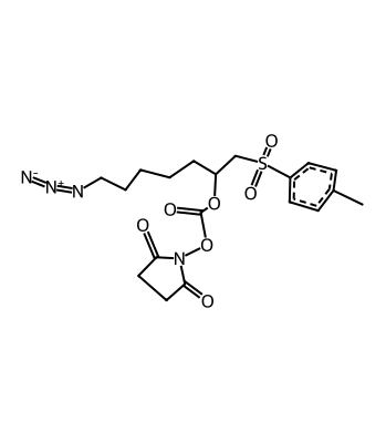 Cc1ccc(S(=O)(=O)CC(CCCCCN=[N+]=[N-])OC(=O)ON2C(=O)CCC2=O)cc1